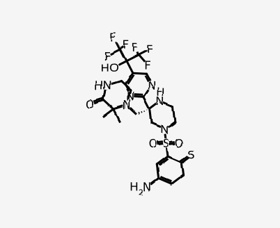 CC1(C)C(=O)NCCN1C[C@@]1(c2ncc(C(O)(C(F)(F)F)C(F)(F)F)cn2)CN(S(=O)(=O)C2=CC(N)=CCC2=S)CCN1